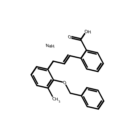 Cc1cccc(CC=Cc2ccccc2C(=O)O)c1OCc1ccccc1.[NaH]